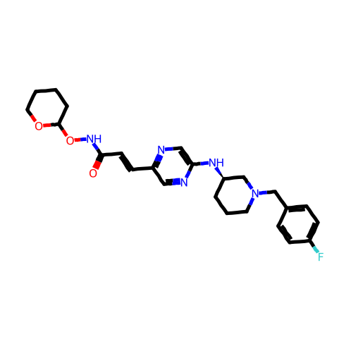 O=C(C=Cc1cnc(N[C@@H]2CCCN(Cc3ccc(F)cc3)C2)cn1)NOC1CCCCO1